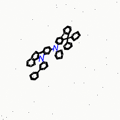 c1ccc(-c2cccc(-n3c4cc(N(c5ccccc5)c5ccc6c(c5)C(c5ccccc5)(c5ccccc5)c5ccccc5-6)ccc4c4ccc5ccccc5c43)c2)cc1